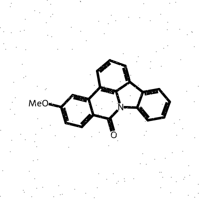 COc1ccc2c(=O)n3c4ccccc4c4cccc(c2c1)c43